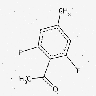 CC(=O)c1c(F)cc(C)cc1F